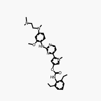 CCc1cccc(CC)c1NC(=O)Oc1cc(-c2ccnc(Nc3ccc(N(C)CCN(C)C)cc3OC)n2)n(C)c1